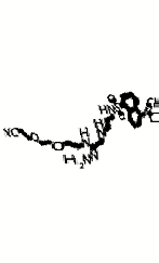 CN(C)c1cccc2c(S(=O)(=O)NCCCNC/C(=N/N)NCCOCCOCCC#N)cccc12